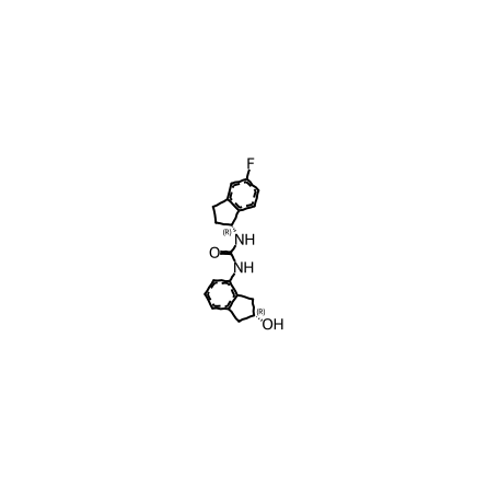 O=C(Nc1cccc2c1C[C@H](O)C2)N[C@@H]1CCc2cc(F)ccc21